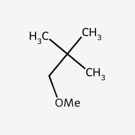 [CH2]OCC(C)(C)C